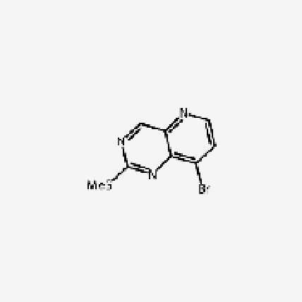 CSc1ncc2nccc(Br)c2n1